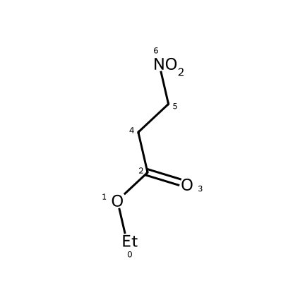 [CH2]COC(=O)CC[N+](=O)[O-]